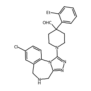 CCc1ccccc1C1(C=O)CCN(c2nnc3n2-c2ccc(Cl)cc2CNC3)CC1